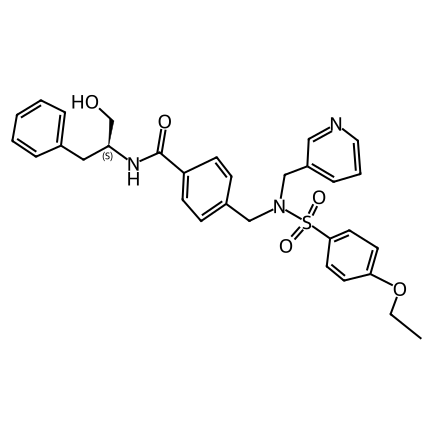 CCOc1ccc(S(=O)(=O)N(Cc2ccc(C(=O)N[C@H](CO)Cc3ccccc3)cc2)Cc2cccnc2)cc1